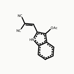 CC(=O)Oc1c(C=C(C#N)C#N)[nH]c2ccccc12